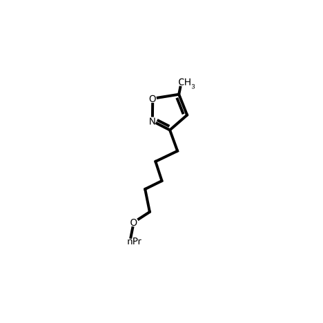 CCCOCCCCCc1cc(C)on1